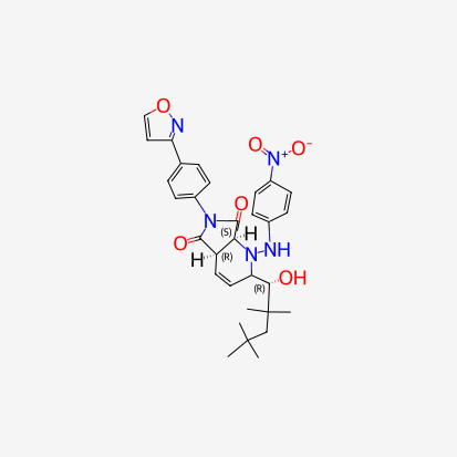 CC(C)(C)CC(C)(C)[C@@H](O)C1C=C[C@H]2C(=O)N(c3ccc(-c4ccon4)cc3)C(=O)[C@H]2N1Nc1ccc([N+](=O)[O-])cc1